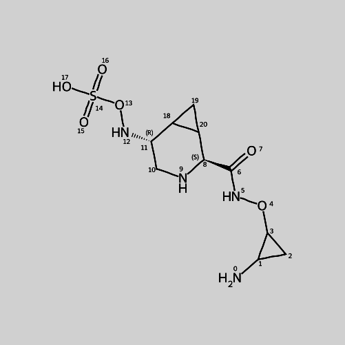 NC1CC1ONC(=O)[C@H]1NC[C@H](NOS(=O)(=O)O)C2CC21